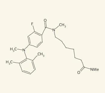 CNC(=O)CCCCCCN(C)C(=O)c1ccc(N(C)c2c(C)cccc2C)cc1F